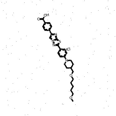 COCCCCCOCC1CCN(c2ccc(-c3nn4cc(-c5ccc(C(=O)O)cc5)nc4s3)cc2)CC1.Cl